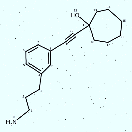 NCCCc1cccc(C#CC2(O)CCCCCC2)c1